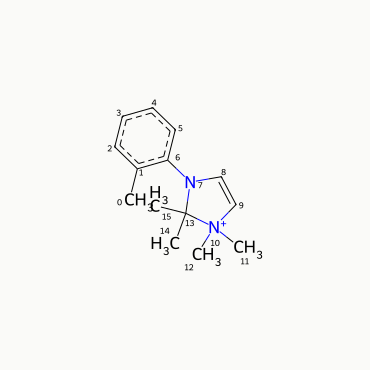 Cc1ccccc1N1C=C[N+](C)(C)C1(C)C